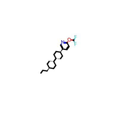 CCC[C@H]1CC[C@H]([C@H]2CC[C@H](c3ccc(OC(F)F)nc3)CC2)CC1